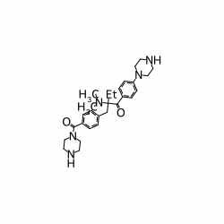 CCC(Cc1ccc(C(=O)N2CCNCC2)cc1)(C(=O)c1ccc(N2CCNCC2)cc1)N(C)C